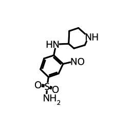 NS(=O)(=O)c1ccc(NC2CCNCC2)c(N=O)c1